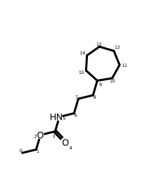 CCOC(=O)NCCCC1CCCCCC1